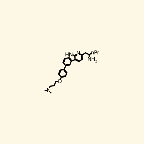 CCCC(N)Cc1ccc2c(n1)[nH]c1ccc(-c3ccc(OCCCN(C)C)cc3)cc12